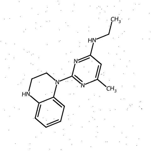 CCNc1cc(C)nc(N2CCNc3ccccc32)n1